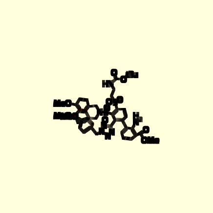 COC(=O)c1cccc(-c2ccc(S(=O)(=O)CCNC(=O)OC(C)(C)C)c(S(=O)(=O)N(Cc3ccc(OC)cc3)Cc3ccc(OC)cc3)c2-c2nnn(Cc3ccc(OC)cc3)n2)c1N